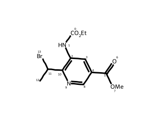 CCOC(=O)Nc1cc(C(=O)OC)cnc1C(C)Br